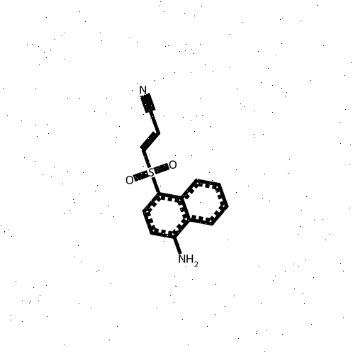 N#CC=CS(=O)(=O)c1ccc(N)c2ccccc12